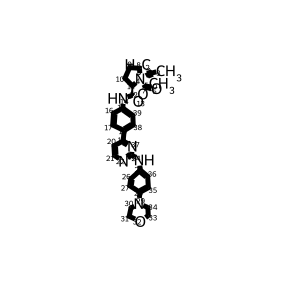 CC(C)(C)[N+]1(C(=O)[O-])CCC[C@@H]1C(=O)Nc1ccc(-c2ccnc(Nc3ccc(N4CCOCC4)cc3)n2)cc1